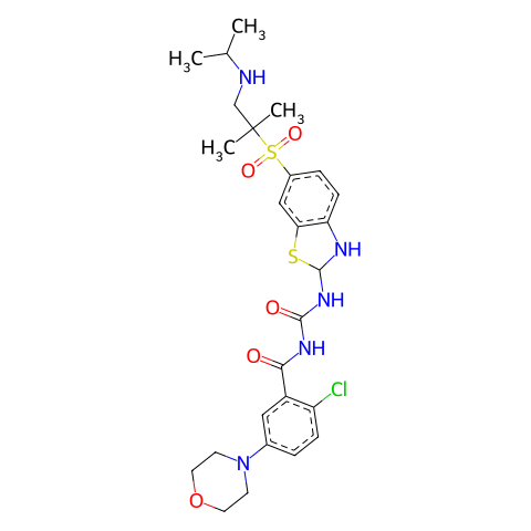 CC(C)NCC(C)(C)S(=O)(=O)c1ccc2c(c1)SC(NC(=O)NC(=O)c1cc(N3CCOCC3)ccc1Cl)N2